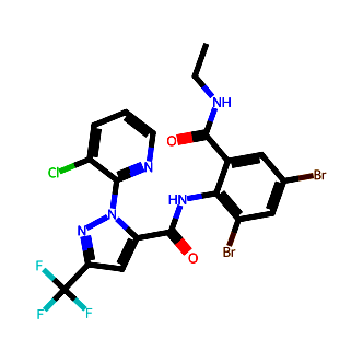 CCNC(=O)c1cc(Br)cc(Br)c1NC(=O)c1cc(C(F)(F)F)nn1-c1ncccc1Cl